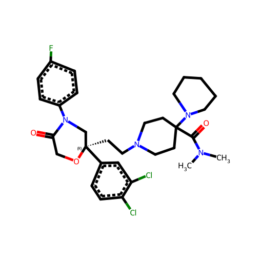 CN(C)C(=O)C1(N2CCCCC2)CCN(CC[C@@]2(c3ccc(Cl)c(Cl)c3)CN(c3ccc(F)cc3)C(=O)CO2)CC1